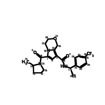 CC[C@@H](NC(=O)c1cc(C(=O)N2CCCC2C)n2c1COCC2)c1ccc(C(F)(F)F)cc1